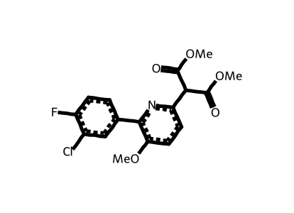 COC(=O)C(C(=O)OC)c1ccc(OC)c(-c2ccc(F)c(Cl)c2)n1